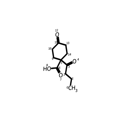 CCCC(=O)C1(C(=O)O)CCC(=O)CC1